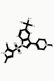 Cc1cc(S(=O)(=O)n2cc(C3=CCN(C)CC3)c3cc(C(F)(F)F)ccc32)c(C)o1